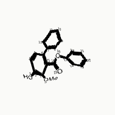 COc1c(O)ccc(-c2ccccc2)c1C(=O)Oc1ccccc1